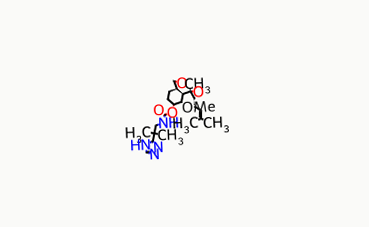 CO[C@@H]1[C@H](OC(=O)NCC(C)(C)c2nnc[nH]2)CC[C@]2(CO2)[C@H]1[C@@]1(C)O[C@@H]1CC=C(C)C